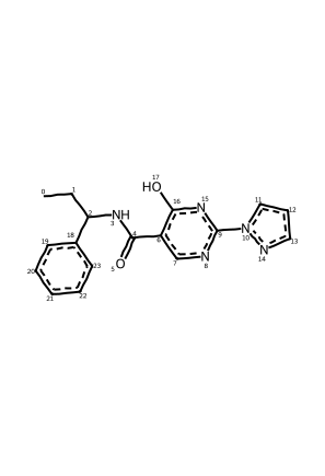 CCC(NC(=O)c1cnc(-n2cccn2)nc1O)c1ccccc1